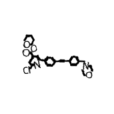 O=C(OC1CCCCO1)c1cc(Cl)nc(-c2ccc(C#Cc3ccc(CN4CCOCC4)cc3)cc2)c1